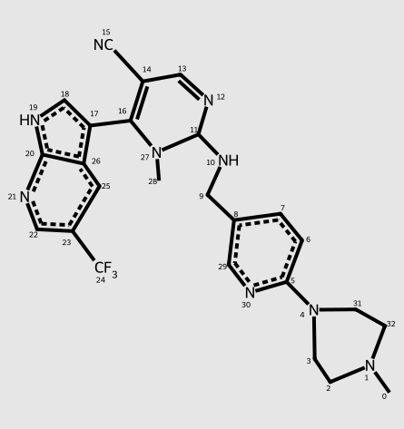 CN1CCN(c2ccc(CNC3N=CC(C#N)=C(c4c[nH]c5ncc(C(F)(F)F)cc45)N3C)cn2)CC1